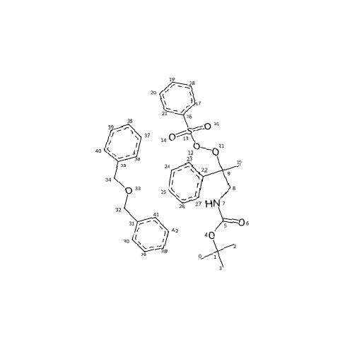 CC(C)(C)OC(=O)NCC(C)(OOS(=O)(=O)c1ccccc1)c1ccccc1.c1ccc(COCc2ccccc2)cc1